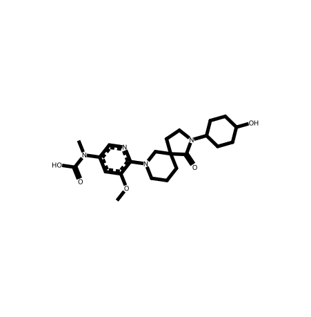 COc1cc(N(C)C(=O)O)cnc1N1CCCC2(CCN(C3CCC(O)CC3)C2=O)C1